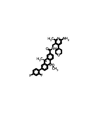 CO[C@@H]1c2ccc(C(=O)NCc3c(C4=CCOCC4)cc(N)nc3C)cc2[C@H](C)c2cc(-c3ccc(F)cc3F)ccc21